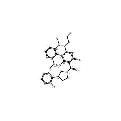 CCCCc1nc(=O)c(C(=O)N2CCC(c3ncccc3F)C2)c(O)n1-c1c(OC)cccc1OC